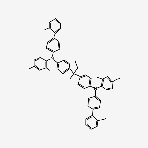 CCC(C)(c1ccc(N(c2ccc(-c3ccccc3C)cc2)c2ccc(C)cc2C)cc1)c1ccc(N(c2ccc(-c3ccccc3C)cc2)c2ccc(C)cc2C)cc1